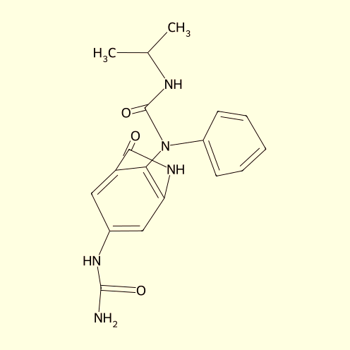 CC(C)NC(=O)N(c1ccccc1)c1c2cc(NC(N)=O)cc1C(=O)N2